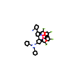 N#Cc1ccccc1-c1ccc(-c2cc(-c3nc(-c4ccccc4)nc(-c4ccccc4)n3)ccc2-n2c3ccc(C(F)(F)F)cc3c3cc(C(F)(F)F)ccc32)c(-n2c3ccc(C(F)(F)F)cc3c3cc(C(F)(F)F)ccc32)c1